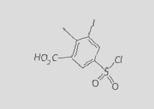 Cc1c(I)cc(S(=O)(=O)Cl)cc1C(=O)O